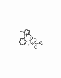 Cc1ccc(C)n1-c1ccccc1C(=O)NS(=O)(=O)C1CC1